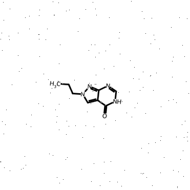 CCCn1cc2c(=O)[nH]cnc2n1